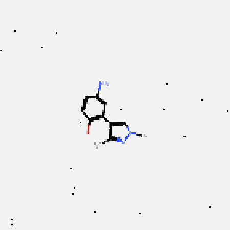 CCn1cc(-c2cc(N)ccc2Br)c(C(F)(F)F)n1